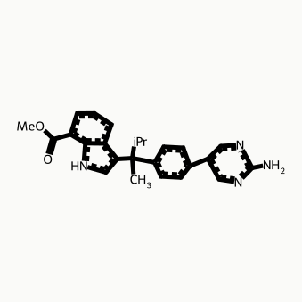 COC(=O)c1cccc2c(C(C)(c3ccc(-c4cnc(N)nc4)cc3)C(C)C)c[nH]c12